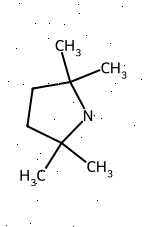 CC1(C)CCC(C)(C)[N]1